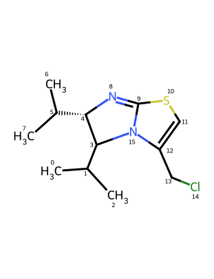 CC(C)C1[C@H](C(C)C)N=C2SC=C(CCl)N21